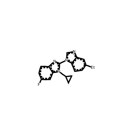 CCc1ccc2c(c1)ncn2-c1nc2ccc(F)cc2n1C1CC1